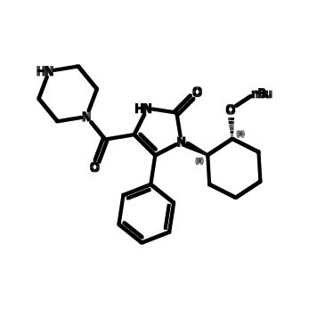 CCCCO[C@@H]1CCCC[C@H]1n1c(-c2ccccc2)c(C(=O)N2CCNCC2)[nH]c1=O